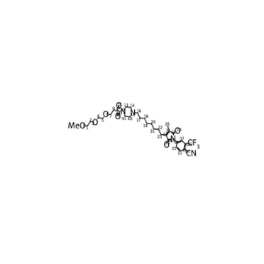 COCCOCCOCCS(=O)(=O)N1CCN(CCCCCCCCC2=C(C)C(=O)N(c3ccc(C#N)c(C(F)(F)F)c3)C2=O)CC1